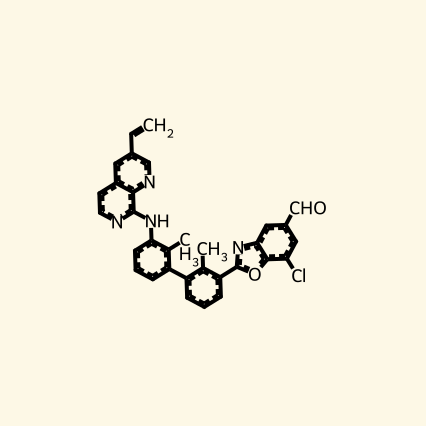 C=Cc1cnc2c(Nc3cccc(-c4cccc(-c5nc6cc(C=O)cc(Cl)c6o5)c4C)c3C)nccc2c1